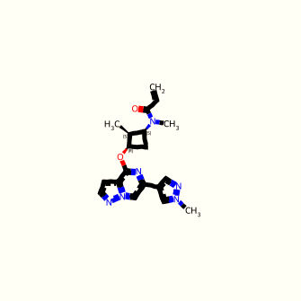 C=CC(=O)N(C)[C@H]1C[C@@H](Oc2nc(-c3cnn(C)c3)cn3nccc23)[C@H]1C